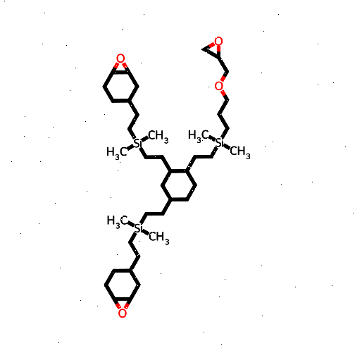 C[Si](C)(CCC1CCC(CC[Si](C)(C)CCCOCC2CO2)C(CC[Si](C)(C)CCC2CCC3OC3C2)C1)CCC1CCC2OC2C1